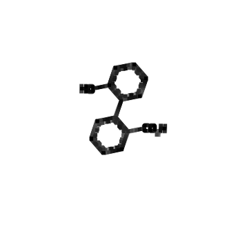 O=C(O)c1ccccc1-c1ccccc1O